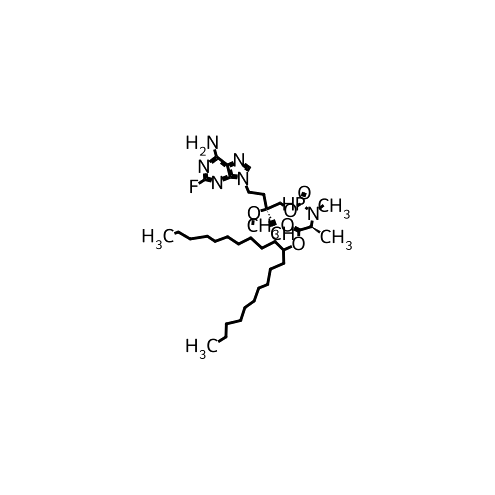 C#C[C@](CCn1cnc2c(N)nc(F)nc21)(CO[PH](=O)N(C)[C@@H](C)C(=O)OC(CCCCCCCCCC)CCCCCCCCCC)OC